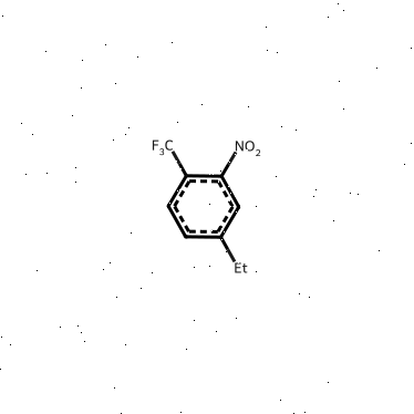 CCc1ccc(C(F)(F)F)c([N+](=O)[O-])c1